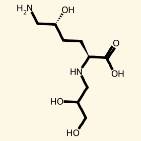 NC[C@H](O)CC[C@H](NCC(O)CO)C(=O)O